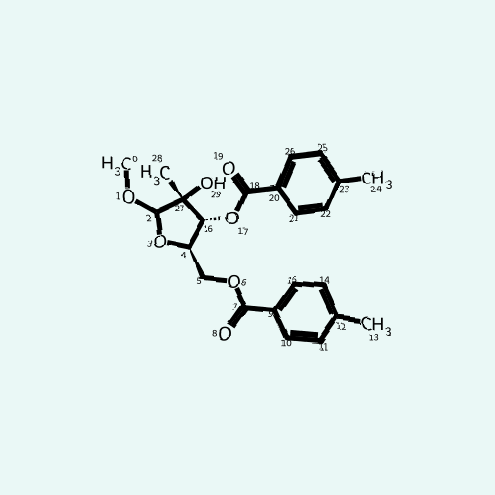 COC1O[C@H](COC(=O)c2ccc(C)cc2)[C@@H](OC(=O)c2ccc(C)cc2)[C@@]1(C)O